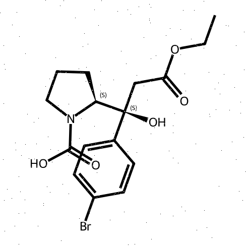 CCOC(=O)C[C@](O)(c1ccc(Br)cc1)[C@@H]1CCCN1C(=O)O